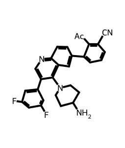 CC(=O)c1c(C#N)cccc1-c1ccc2ncc(-c3cc(F)cc(F)c3)c(N3CCC(N)CC3)c2c1